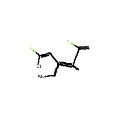 C=C(F)/C(C)=C(\C=C(\F)CC)CC(C)CC